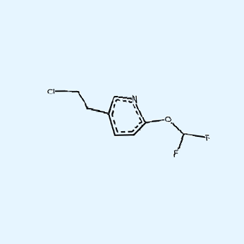 FC(F)Oc1ccc(CCCl)cn1